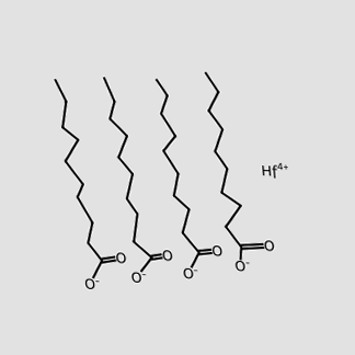 CCCCCCCCCC(=O)[O-].CCCCCCCCCC(=O)[O-].CCCCCCCCCC(=O)[O-].CCCCCCCCCC(=O)[O-].[Hf+4]